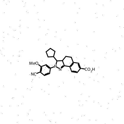 COc1cc(N2N=C3c4ccc(C(=O)O)cc4CCC3C2C2CCCC2)ccc1C#N